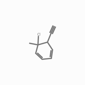 C#CC1C=CC=CC1(C)Cl